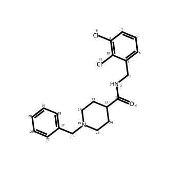 O=C(NCc1cccc(Cl)c1Cl)C1CCN(Cc2ccccc2)CC1